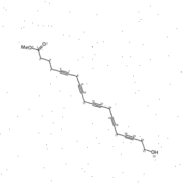 COC(=O)CCCC#CCC#CCC#CCC#CCC#CCCO